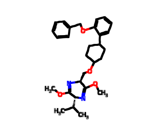 COC1=N[C@H](C(C)C)C(OC)=N[C@H]1COC1CCC(c2ccccc2OCc2ccccc2)CC1